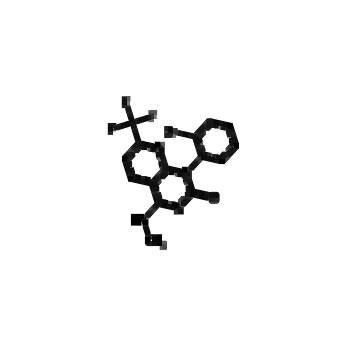 CNc1nc(=O)n(-c2ccccc2Br)c2nc(C(F)(F)F)ccc12